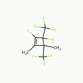 CC1=C(F)C(F)(C(F)(F)F)C1(C)C(F)(F)F